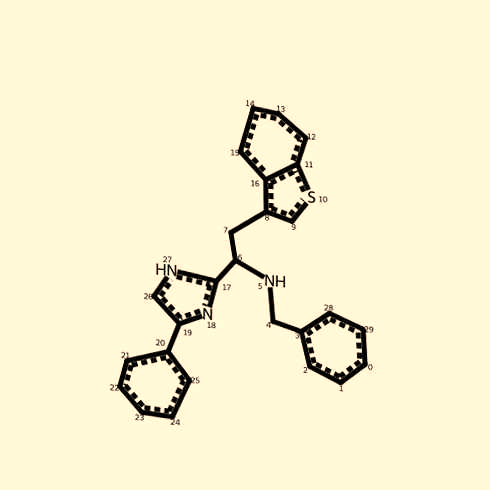 c1ccc(CNC(Cc2csc3ccccc23)c2nc(-c3ccccc3)c[nH]2)cc1